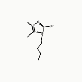 CCCCn1c(S)n[n+](C)c1C